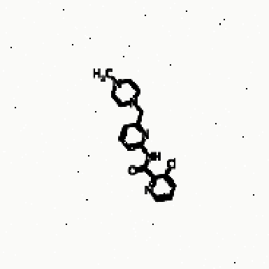 CN1CCN(Cc2cccc(NC(=O)c3ncccc3Cl)n2)CC1